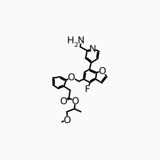 COCC(C)OC(=O)Cc1ccccc1OCc1cc(-c2ccnc(CN)c2)c2occc2c1F